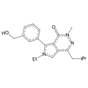 CCn1cc2c(CC(C)C)nn(C)c(=O)c2c1-c1cccc(CO)c1